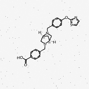 O=C(O)c1ccc(CN2C[C@@H]3C[C@H]2CN3Cc2ccc(Oc3nccs3)cc2)cc1